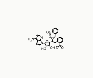 Nc1ncnc2c1ncn2[C@@H]1O[C@H](C(Cc2ccccc2[N+](=O)[O-])OCc2ccccc2[N+](=O)[O-])[C@@H](O)[C@H]1O